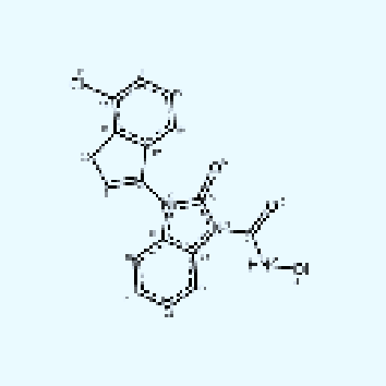 O=C(NO)n1c(=O)n(C2=CCc3c(Cl)cccc32)c2ccccc21